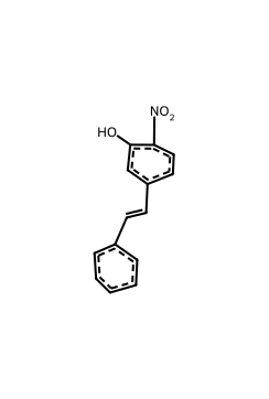 O=[N+]([O-])c1ccc(C=Cc2ccccc2)cc1O